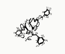 O=C(C[C@H](NC(=O)OCc1ccccc1)C(=O)N[C@@H](Cc1ccccc1)C(=O)O)OC1CCCCC1